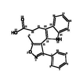 Cc1onc(-c2ccccc2)c1-c1[nH]c2ccccc2c1CCC(=O)O